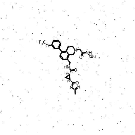 Cc1noc([C@H]2C[C@@H]2C(=O)NCc2ccc(-c3cccc(OC(F)(F)F)c3)c3c2CN(CC(=O)NC(C)(C)C)CC3)n1